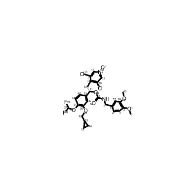 COc1ccc(CNC(=O)O[C@@H](Cc2c(Cl)c[n+]([O-])cc2Cl)c2ccc(OC(F)F)c(OCC3CC3)c2)cc1OC